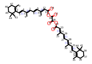 CC1=C(/C=C/C(C)=C/C=C/C(C)=C/C(=O)OC(=O)C(=O)OC(=O)/C=C(C)/C=C/C=C(C)/C=C/C2=C(C)CCCC2(C)C)C(C)(C)CCC1